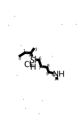 CCC(C)[SiH](Cl)CCCCNC